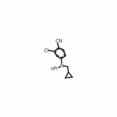 CCCN(CC1CC1)c1ccc(C#N)c(Cl)c1